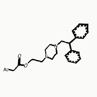 CC(=O)CC(=O)OCCN1CCN(CC(c2ccccc2)c2ccccc2)CC1